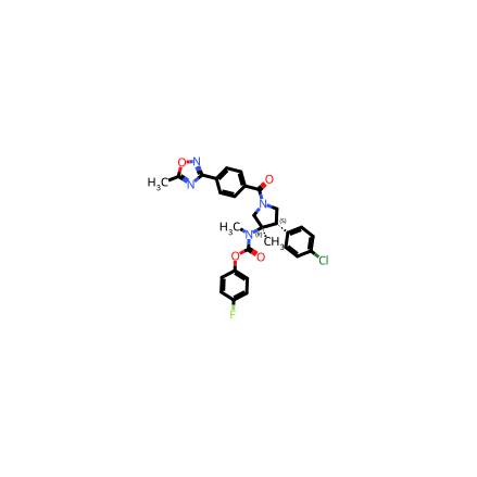 Cc1nc(-c2ccc(C(=O)N3C[C@H](c4ccc(Cl)cc4)[C@@](C)(N(C)C(=O)Oc4ccc(F)cc4)C3)cc2)no1